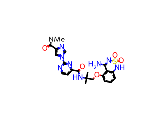 CNC(=O)c1cn(-c2nccc(C(=O)NC(C)(C)COc3cccc4c3C(N)=NS(=O)(=O)N4)n2)cn1